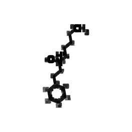 CCCCC[NH+]([O-])CCc1ccccc1